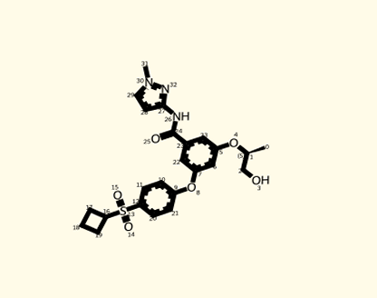 C[C@@H](CO)Oc1cc(Oc2ccc(S(=O)(=O)C3CCC3)cc2)cc(C(=O)Nc2ccn(C)n2)c1